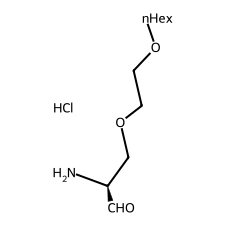 CCCCCCOCCOC[C@H](N)C=O.Cl